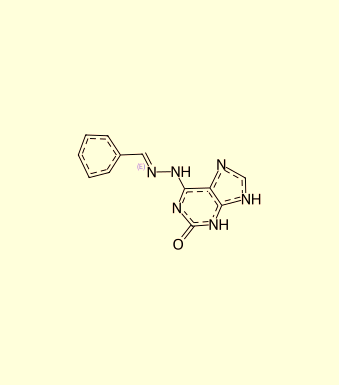 O=c1nc(N/N=C/c2ccccc2)c2nc[nH]c2[nH]1